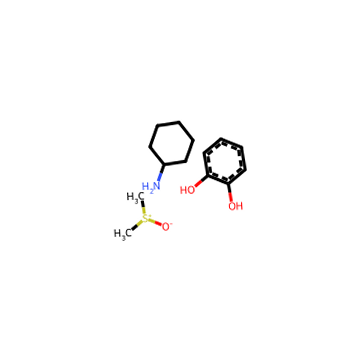 C[S+](C)[O-].NC1CCCCC1.Oc1ccccc1O